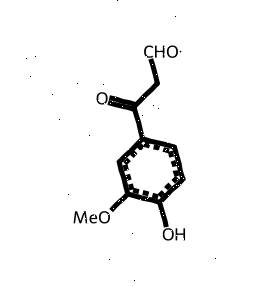 COc1cc(C(=O)C[C]=O)ccc1O